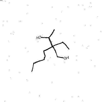 CCCCC(CC)(CO)C(C)O